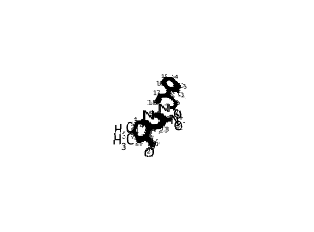 CC1(C)Cc2nc(N3CCC(c4ccccc4)CC3)c([N+](=O)[O-])cc2C(C=O)C1